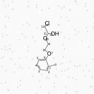 Cc1ccccc1OCCOC(O)CCl